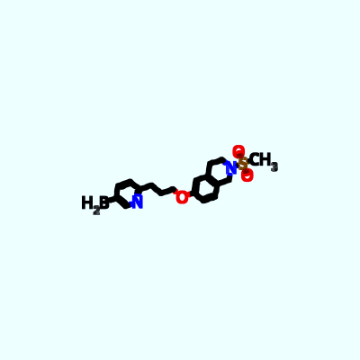 Bc1ccc(CCCOc2ccc3c(c2)CCN(S(C)(=O)=O)C3)nc1